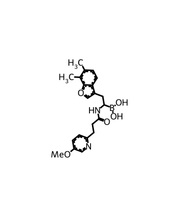 COc1ccc(CCC(=O)NC(Cc2coc3c(C)c(C)ccc23)B(O)O)nc1